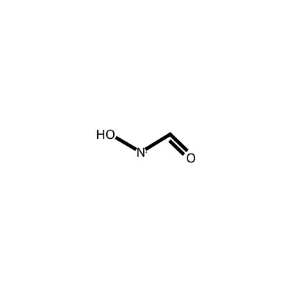 O=C[N]O